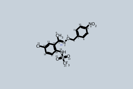 C/C(=N\OCc1ccc([N+](=O)[O-])cc1)c1cc(Cl)ccc1NS(=O)(=O)C(F)(F)F